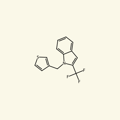 FC(F)(F)c1cc2ccccc2n1Cc1ccsc1